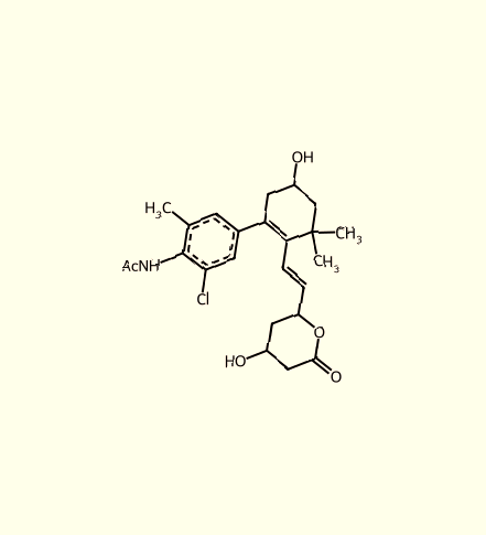 CC(=O)Nc1c(C)cc(C2=C(C=CC3CC(O)CC(=O)O3)C(C)(C)CC(O)C2)cc1Cl